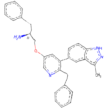 Cc1n[nH]c2ccc(-c3cc(OC[C@@H](N)Cc4ccccc4)cnc3Cc3ccccc3)cc12